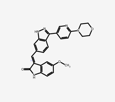 COc1ccc2c(c1)/C(=C\c1ccc3c(-c4ccc(N5CCOCC5)nc4)n[nH]c3c1)C(=O)N2